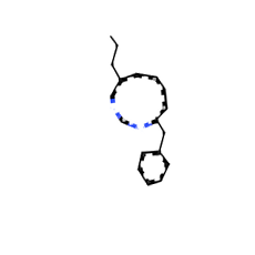 CCCc1ccccc(Cc2ccccc2)ncnc1